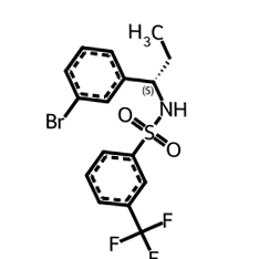 CC[C@H](NS(=O)(=O)c1cccc(C(F)(F)F)c1)c1cccc(Br)c1